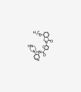 COc1cccc2c1CN(c1ccc(C(=O)Nc3cnccc3N3CCNCC3)o1)C2=O